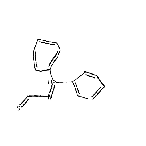 S=CN=[PH](c1ccccc1)c1ccccc1